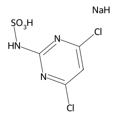 O=S(=O)(O)Nc1nc(Cl)cc(Cl)n1.[NaH]